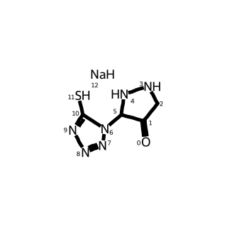 O=C1CNNC1n1nnnc1S.[NaH]